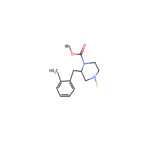 CC(C)(C)OC(=O)N1CCN(F)CC1Cc1ccccc1C(=O)O